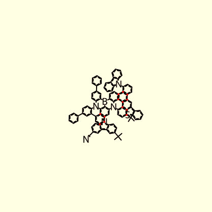 CC(C)(C)c1ccc(N2c3cc(-c4c(-c5ccc6sc7ccccc7c6c5)cccc4-n4c5ccccc5c5ccccc54)ccc3B3c4cc(-c5ccccc5)ccc4N(c4ccc(-c5ccccc5)cc4-c4ccccc4)c4cc(-n5c6ccc(C#N)cc6c6cc(C(C)(C)C)ccc65)cc2c43)c(-c2ccccc2)c1